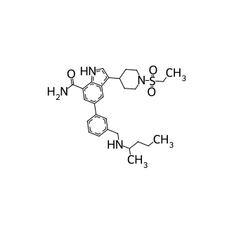 CCCC(C)NCc1cccc(-c2cc(C(N)=O)c3[nH]cc(C4CCN(S(=O)(=O)CC)CC4)c3c2)c1